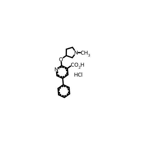 CN1CCC(Oc2ncc(-c3ccccc3)cc2C(=O)O)C1.Cl